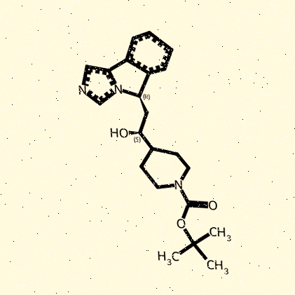 CC(C)(C)OC(=O)N1CCC([C@@H](O)C[C@@H]2c3ccccc3-c3cncn32)CC1